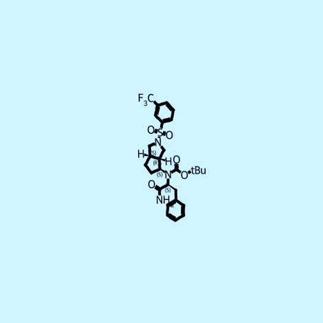 CC(C)(C)OC(=O)N([C@@H](Cc1ccccc1)C(N)=O)[C@H]1CC[C@@H]2CN(S(=O)(=O)c3cccc(C(F)(F)F)c3)C[C@@H]21